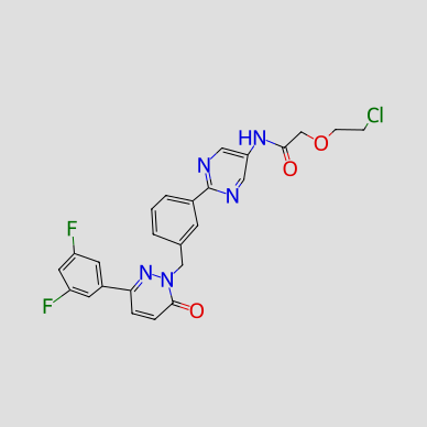 O=C(COCCCl)Nc1cnc(-c2cccc(Cn3nc(-c4cc(F)cc(F)c4)ccc3=O)c2)nc1